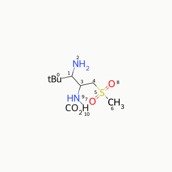 CC(C)(C)C(N)C(CS(C)(=O)=O)NC(=O)O